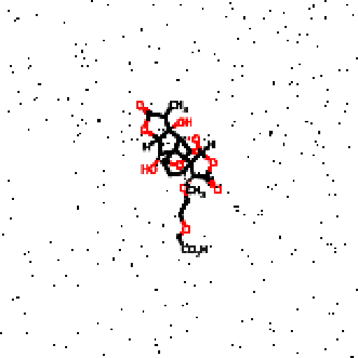 CC1C(=O)O[C@H]2[C@H](O)[C@@]34C5C[C@@H](C)C36[C@@H](OC(=O)[C@@H]6OCCOCC(=O)O)O[C@@]4(C(=O)O5)[C@@]12O